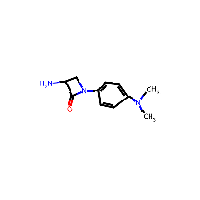 CN(C)c1ccc(N2CC(N)C2=O)cc1